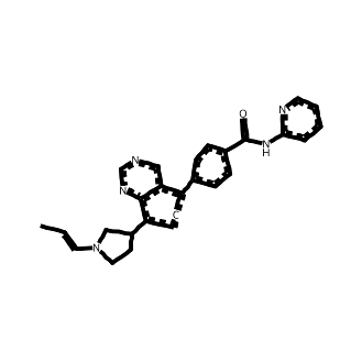 CC=CN1CCC(c2ccc(-c3ccc(C(=O)Nc4ccccn4)cc3)c3cncnc23)C1